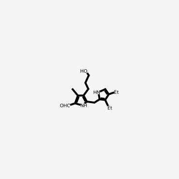 CCc1c[nH]c(Cc2[nH]c(C=O)c(C)c2CCCO)c1CC